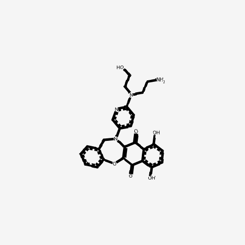 NCCN(CCO)c1ccc(N2Cc3ccccc3OC3=C2C(=O)c2c(O)ccc(O)c2C3=O)cn1